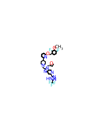 COc1c(F)ccc(COc2cccc(C3CCN(Cc4nc5cc(-c6nnc(C(F)(F)F)[nH]6)ncc5n4C[C@@H]4CCO4)CC3)n2)c1F